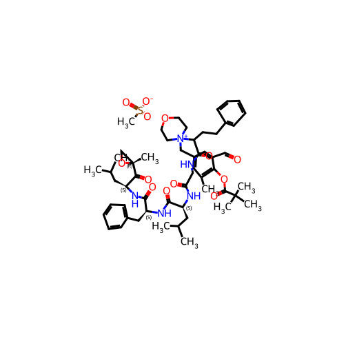 CS(=O)(=O)[O-].Cc1cc(C[N+]2(C(CCc3ccccc3)C(=O)NCC(=O)N[C@@H](CC(C)C)C(=O)N[C@@H](Cc3ccccc3)C(=O)N[C@@H](CC(C)C)C(=O)[C@@]3(C)CO3)CCOCC2)cc(C=O)c1OC(=O)C(C)(C)C